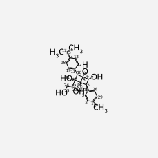 Cc1ccc(C2C(O)[C@@]3(O)C(c4ccc(C(C)C)cc4)[C@@](O)([C@H](O)CO)[C@@]23O)cc1